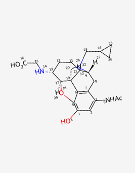 CC(=O)Nc1cc(O)c2c3c1C[C@@H]1[C@@H]4CC[C@@H](NCC(=O)O)[C@H](O2)[C@]34CCN1CC1CC1